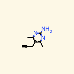 C#CCc1c(C)nc(N)nc1C